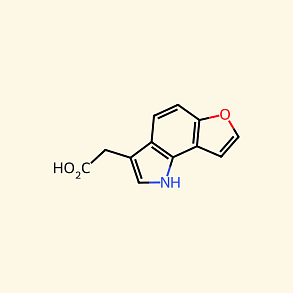 O=C(O)Cc1c[nH]c2c1ccc1occc12